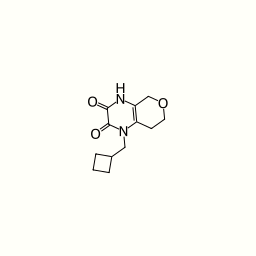 O=c1[nH]c2c(n(CC3CCC3)c1=O)CCOC2